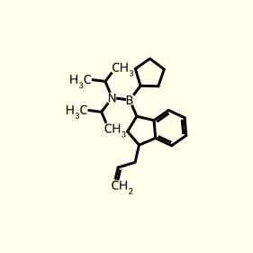 C=CCC1CC(B(C2CCCC2)N(C(C)C)C(C)C)c2ccccc21